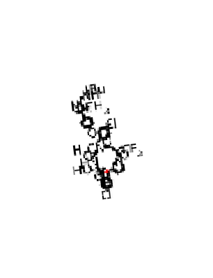 C[C@H]1C(=O)N[C@@H](CO)C(=O)N[C@@]2(Cc3ccc(Cl)cc3)CCCN(C2)C(=O)[C@H](CC(F)(F)F)CC(=O)N1Cc1ccc(Cl)cc1Oc1ccc(-c2cnc(CNC(C)(C)C)n2C)cc1